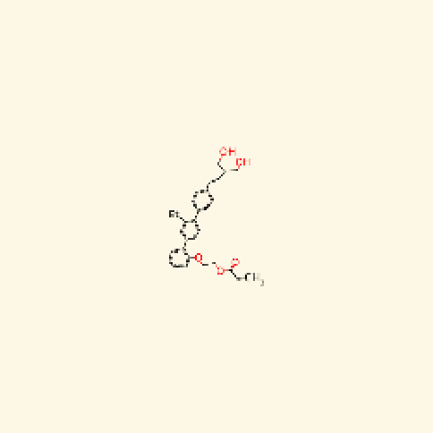 C=CC(=O)OCCOc1ccccc1-c1ccc(-c2ccc(CCC(CO)CO)cc2)c(CC)c1